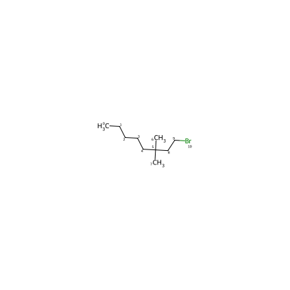 CCCCCC(C)(C)CCBr